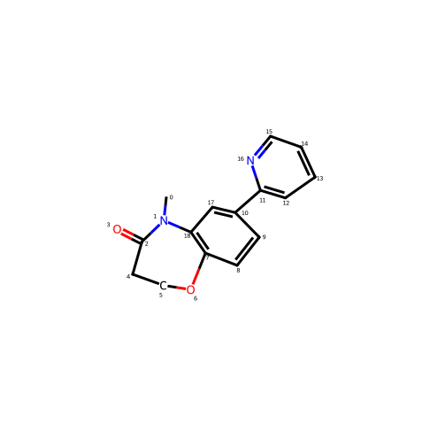 CN1C(=O)CCOc2ccc(-c3ccccn3)cc21